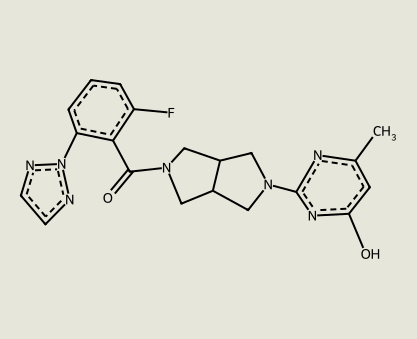 Cc1cc(O)nc(N2CC3CN(C(=O)c4c(F)cccc4-n4nccn4)CC3C2)n1